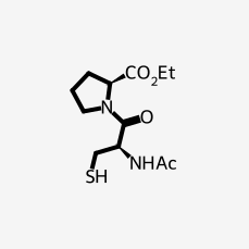 CCOC(=O)[C@@H]1CCCN1C(=O)[C@H](CS)NC(C)=O